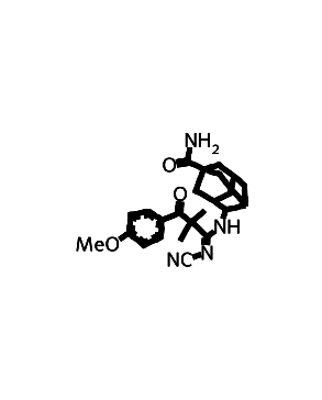 COc1ccc(C(=O)C(C)(C)/C(=N\C#N)NC2C3CC4CC2CC(C(N)=O)(C4)C3)cc1